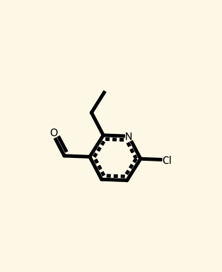 CCc1nc(Cl)ccc1C=O